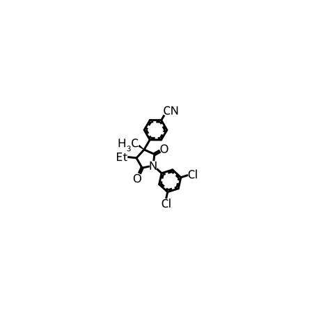 CCC1C(=O)N(c2cc(Cl)cc(Cl)c2)C(=O)[C@@]1(C)c1ccc(C#N)cc1